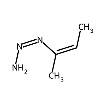 C/C=C(C)\N=N/N